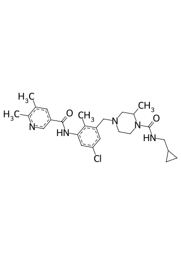 Cc1cc(C(=O)Nc2cc(Cl)cc(CN3CCN(C(=O)NCC4CC4)C(C)C3)c2C)cnc1C